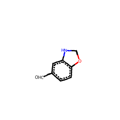 O=Cc1ccc2c(c1)NCO2